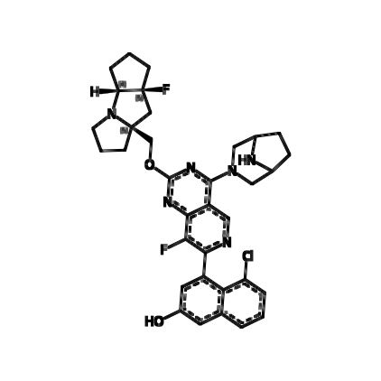 Oc1cc(-c2ncc3c(N4CC5CCC(C4)N5)nc(OC[C@@]45CCCN4[C@@H]4CCC[C@]4(F)C5)nc3c2F)c2c(Cl)cccc2c1